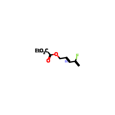 C=C(F)/C=C/COC(=O)C(=O)OCC